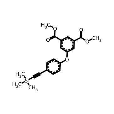 COC(=O)c1cc(Oc2ccc(C#C[Si](C)(C)C)cc2)cc(C(=O)OC)c1